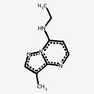 CCNc1ccnc2c(C)cnn12